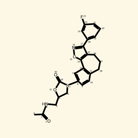 CC(=O)NCC1CN(c2ccc3c(c2)-c2onc(-c4cccc(F)c4)c2CCC3)C(=O)O1